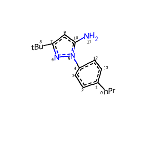 CCCc1ccc(-n2nc(C(C)(C)C)cc2N)cc1